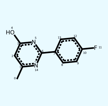 Cc1cc(O)nc(-c2ccc(F)cc2)n1